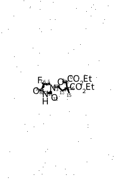 CCOC(=O)[C@@H]1O[C@H](n2cc(F)c(=O)[nH]c2=O)C[C@@]1(C)C(=O)OCC